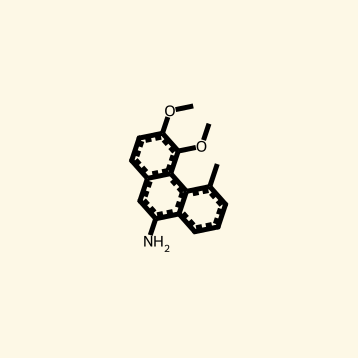 COc1ccc2cc(N)c3cccc(C)c3c2c1OC